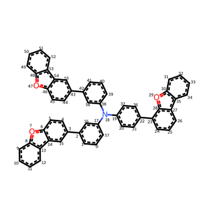 c1cc(-c2ccc3oc4ccccc4c3c2)cc(N(c2ccc(-c3cccc4c3oc3ccccc34)cc2)c2cccc(-c3ccc4oc5ccccc5c4c3)c2)c1